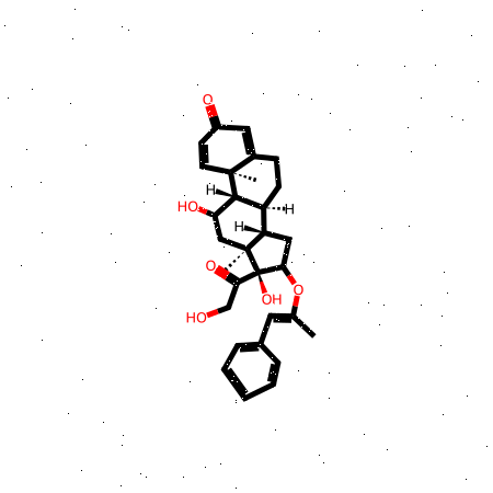 CC(=Cc1ccccc1)OC1C[C@H]2[C@@H]3CCC4=CC(=O)C=C[C@]4(C)[C@H]3C(O)C[C@]2(C)[C@@]1(O)C(=O)CO